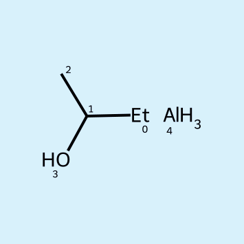 CCC(C)O.[AlH3]